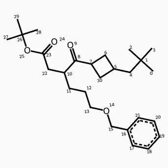 CC(C)(C)CC1CC(C(=O)C(CCCOCc2ccccc2)CC(=O)OC(C)(C)C)C1